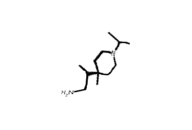 CC(C)N1CCC(C)(C(C)CN)CC1